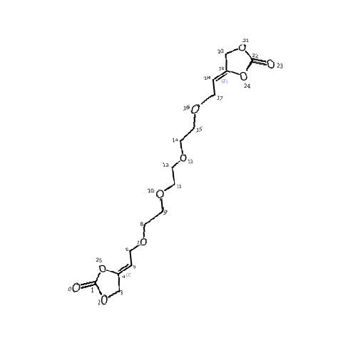 O=C1OC/C(=C/COCCOCCOCCOC/C=C2/COC(=O)O2)O1